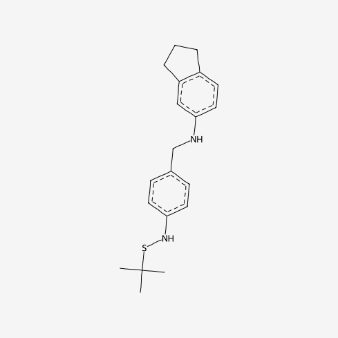 CC(C)(C)SNc1ccc(CNc2ccc3c(c2)CCC3)cc1